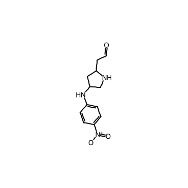 O=CCC1CC(Nc2ccc([N+](=O)[O-])cc2)CN1